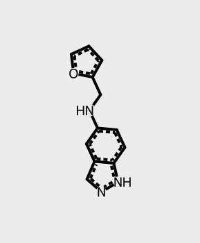 c1coc(CNc2ccc3[nH]ncc3c2)c1